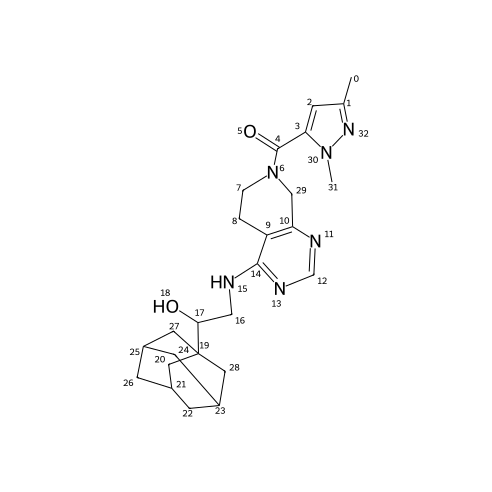 Cc1cc(C(=O)N2CCc3c(ncnc3NCC(O)C34CC5CC(CC(C5)C3)C4)C2)n(C)n1